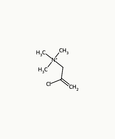 C=C(Cl)C[N+](C)(C)C